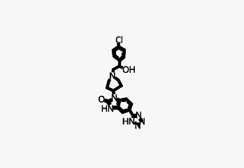 O=c1[nH]c2cc(-c3nnn[nH]3)ccc2n1C1CCN(CC(O)c2ccc(Cl)cc2)CC1